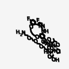 CC(C)[C@H](NC(=O)[C@@H]1CCCN1C(=O)[C@H](CC(=O)O)NC(=O)CCOCCOCCOCCN)C(=O)N=[S@](C)(=O)Cc1cc2cc(c1)OCCCCOc1cc(F)ccc1-c1nc(ncc1F)N2